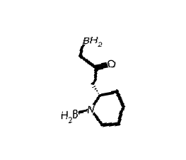 BCC(=O)C[C@@H]1CCCCN1B